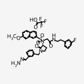 COc1ccc2ccc(S(=O)(=O)N(CC(=O)NCCc3cccc(F)c3)[C@H]3CCN(Cc4cccc(C=NN)c4)C3=O)cc2c1.O=C(O)C(F)(F)F